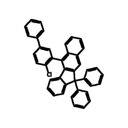 Clc1ccc(-c2ccccc2)cc1-c1c2c(cc3ccccc13)C(c1ccccc1)(c1ccccc1)c1ccccc1-2